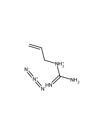 C=CC[NH2+]C(=N)N.[N-]=[N+]=[N-]